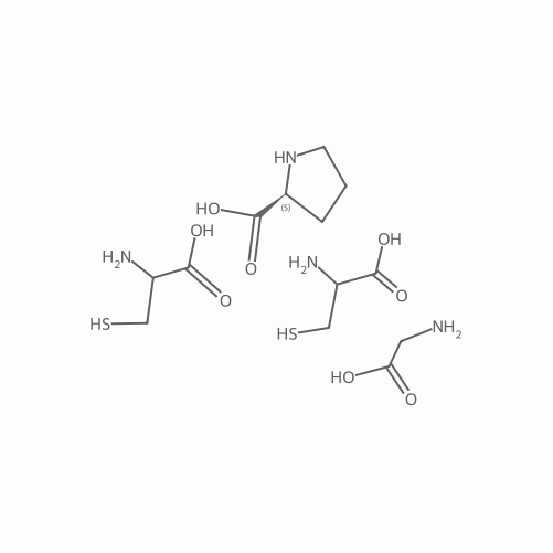 NC(CS)C(=O)O.NC(CS)C(=O)O.NCC(=O)O.O=C(O)[C@@H]1CCCN1